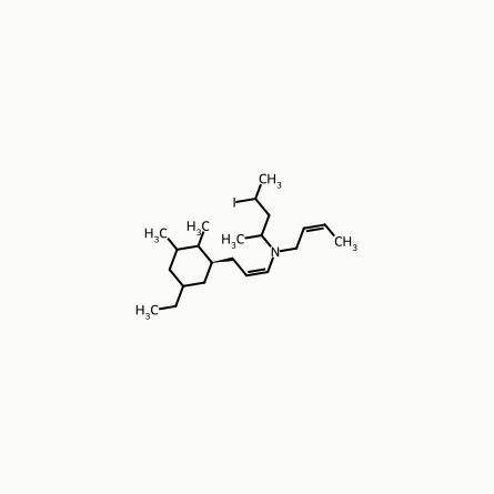 C/C=C\CN(/C=C\C[C@H]1CC(CC)CC(C)C1C)C(C)CC(C)I